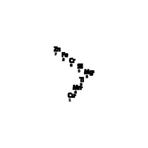 [Cr].[Cu].[Fe].[Mg].[Mn].[Si].[Ti].[Zn]